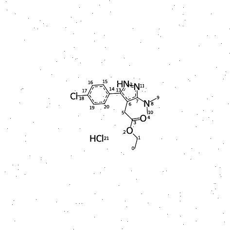 CCOC(=O)Cc1c(N(C)C)n[nH]c1-c1ccc(Cl)cc1.Cl